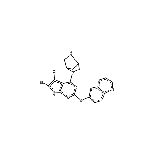 CCc1[nH]c2nc(Sc3cnc4nccnc4c3)nc(N3CC4CC3CN4)c2c1Cl